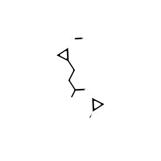 CCN[C@H]1CC1CCC(C)N[C@@H]1C[C@H]1C